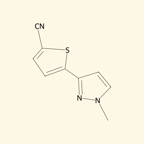 Cn1ccc(-c2ccc(C#N)s2)n1